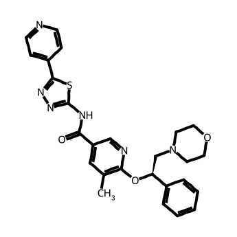 Cc1cc(C(=O)Nc2nnc(-c3ccncc3)s2)cnc1O[C@@H](CN1CCOCC1)c1ccccc1